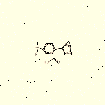 FC(F)(F)c1ccc(-c2n[nH]c3c2C3)cc1.O=CO